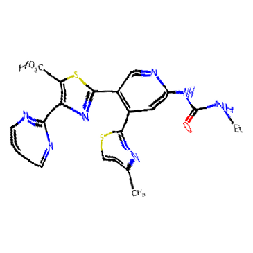 CCNC(=O)Nc1cc(-c2nc(C(F)(F)F)cs2)c(-c2nc(-c3ncccn3)c(C(=O)O)s2)cn1